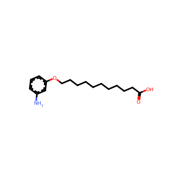 Nc1cccc(OCCCCCCCCCCC(=O)O)c1